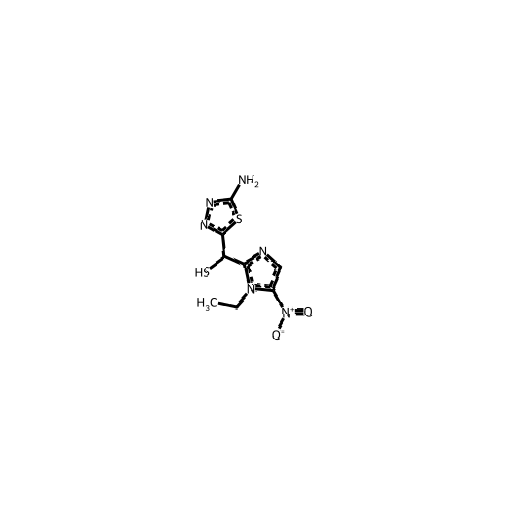 CCn1c([N+](=O)[O-])cnc1C(S)c1nnc(N)s1